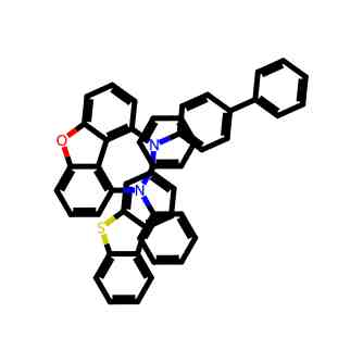 c1ccc(-c2ccc(N(c3ccc4c(c3)sc3ccccc34)c3cccc4oc5cccc(N(c6ccccc6)c6ccccc6)c5c34)cc2)cc1